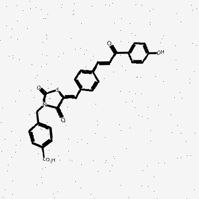 O=C(O)c1ccc(CN2C(=O)S/C(=C\c3ccc(/C=C/C(=O)c4ccc(O)cc4)cc3)C2=O)cc1